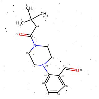 CC(C)(C)CC(=O)N1CCN(c2ccccc2C=O)CC1